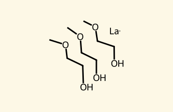 COCCO.COCCO.COCCO.[La]